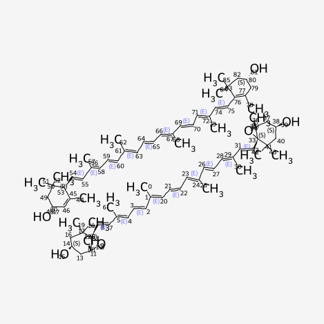 CC(/C=C/C=C(C)/C=C/[C@@]12O[C@]1(C)C[C@@H](O)CC2(C)C)=C\C=C\C=C(C)\C=C\C=C(C)\C=C\[C@@]12O[C@]1(C)C[C@@H](O)CC2(C)C.CC1=C[C@H](O)CC(C)(C)[C@H]1/C=C/C(C)=C/C=C/C(C)=C/C=C/C=C(C)/C=C/C=C(C)/C=C/C1=C(C)C[C@@H](O)CC1(C)C